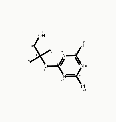 CC(C)(CO)Oc1nc(Cl)nc(Cl)n1